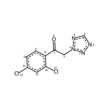 O=C(Cn1ncnn1)c1ccc(Cl)cc1Cl